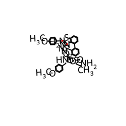 COc1ccc(CNS(=O)(=O)c2c(S(=O)(=O)CC(C)N)ccc(-c3cccc4sc(N)nc34)c2-c2nnn(Cc3ccc(OC)cc3)n2)cc1